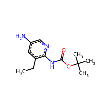 CCc1cc(N)cnc1NC(=O)OC(C)(C)C